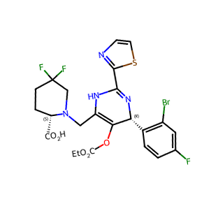 CCOC(=O)OC1=C(CN2CC(F)(F)CC[C@H]2C(=O)O)NC(c2nccs2)=N[C@@H]1c1ccc(F)cc1Br